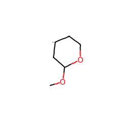 COC1C[CH]CCO1